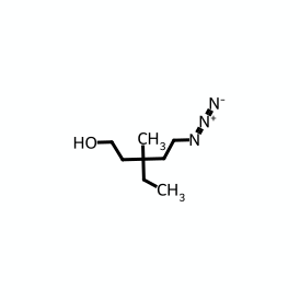 CCC(C)(CCO)CCN=[N+]=[N-]